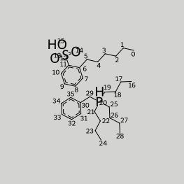 CCCCCCc1ccccc1S(=O)(=O)O.CCCC[PH](CCCC)(CCCC)Cc1ccccc1